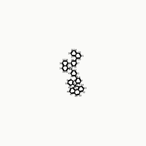 c1ccc(C2(c3cccc(-c4ccc(N(c5ccc(-c6cccc7ccccc67)cc5)c5cccc6ccccc56)cc4)c3)c3cccc4ccc5cccc2c5c34)cc1